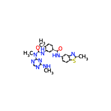 CNc1ncnc(N(C)C(=O)Nc2cc(C(=O)Nc3ccc4sc(C)nc4c3)ccc2C)n1